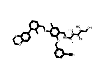 Cc1cc(CN[C@@H](C)[C@@H](O)[C@H](O)[C@H](O)CO)c(OCc2cccc(C#N)c2)cc1OCc1cccc(-c2ccc3c(c2)OCCO3)c1C